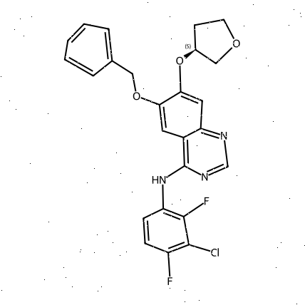 Fc1ccc(Nc2ncnc3cc(O[C@H]4CCOC4)c(OCc4ccccc4)cc23)c(F)c1Cl